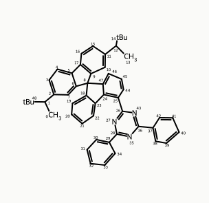 CC(c1ccc2c(c1)C1(c3cc(C(C)C(C)(C)C)ccc3-2)c2ccccc2-c2c(-c3nc(-c4ccccc4)nc(-c4ccccc4)n3)cccc21)C(C)(C)C